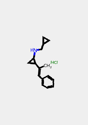 C/C(=C\c1ccccc1)C1CC1NCC1CC1.Cl